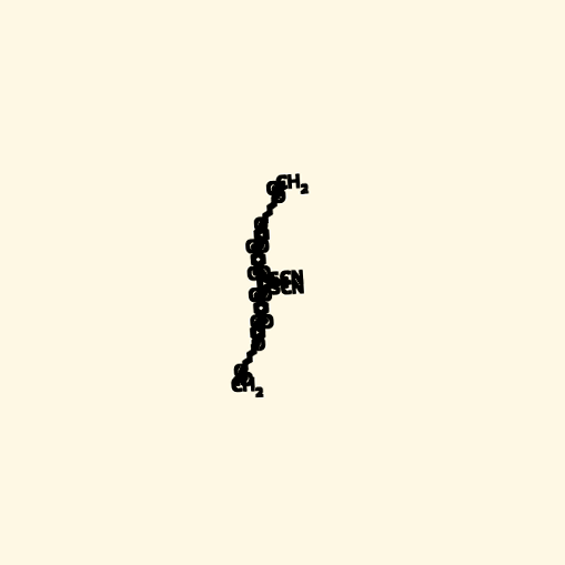 C=CC(=O)OCCCCCCOc1ccc(OC(=O)[C@H]2CC[C@H](C(=O)Oc3ccc(OC(=O)[C@H]4CC[C@H](C(=O)Oc5ccc(OCCCCCCOC(=O)C=C)cc5)CC4)c4c3SC(=C(C#N)C#N)S4)CC2)cc1